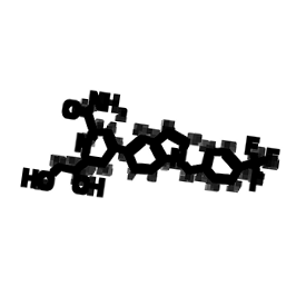 NC(=O)c1cc(-c2ccc3c(ccn3Cc3ccc(C(F)(F)F)cc3)c2)cc([C@@H](O)CO)n1